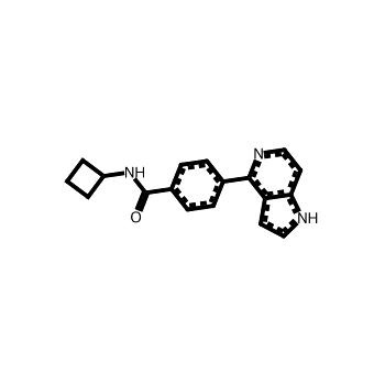 O=C(NC1CCC1)c1ccc(-c2nccc3[nH]ccc23)cc1